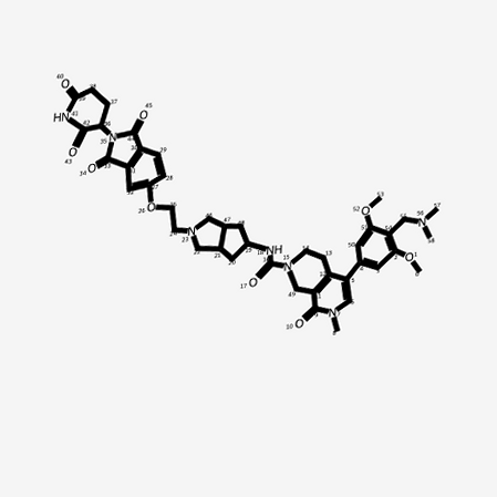 COc1cc(-c2cn(C)c(=O)c3c2CCN(C(=O)NC2CC4CN(CCOc5ccc6c(c5)C(=O)N(C5CCC(=O)NC5=O)C6=O)CC4C2)C3)cc(OC)c1CN(C)C